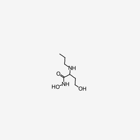 CCCNC(CCO)C(=O)NO